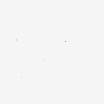 CCNC(=O)c1ccc(C(C)(C(=O)Nc2ccc(-c3ccc(Cl)cc3C)cc2)c2cccc(C3=CCC(C)(C)CC3)c2)cc1.[NaH]